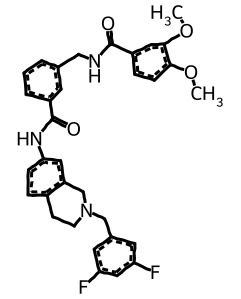 COc1ccc(C(=O)NCc2cccc(C(=O)Nc3ccc4c(c3)CN(Cc3cc(F)cc(F)c3)CC4)c2)cc1OC